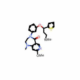 CNCCC(Oc1cccc(N2CCN(C)c3cc(OC)ncc3C2=O)c1)c1cccs1